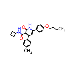 Cc1ccc(-c2cc(-c3ccc(OCCCC(F)(F)F)cc3)[nH]c(=O)c2C(=O)NC2CCC2)cc1